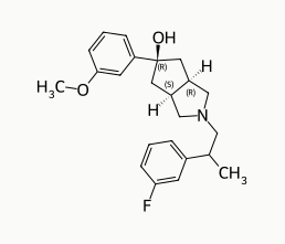 COc1cccc([C@]2(O)C[C@H]3CN(CC(C)c4cccc(F)c4)C[C@H]3C2)c1